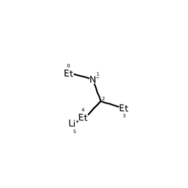 CC[N-]C(CC)CC.[Li+]